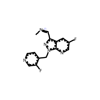 C/N=C\c1nn(Cc2ccncc2F)c2ncc(F)cc12